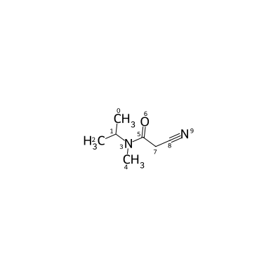 CC(C)N(C)C(=O)CC#N